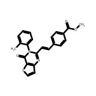 COC(=O)c1ccc(C=Cc2nc3ccsc3c(=O)n2-c2ccccc2C)cc1